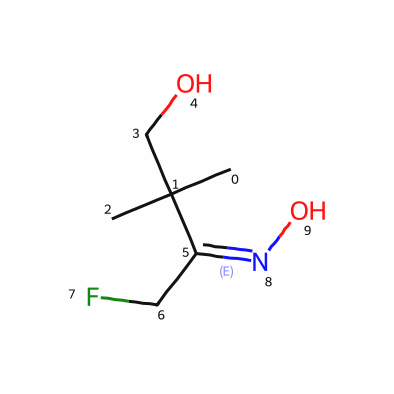 CC(C)(CO)/C(CF)=N\O